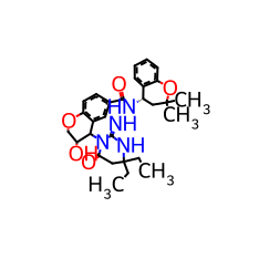 CCC1(CC)CC(=O)N(C2c3cc(C(=O)N[C@H]4CC(C)(C)Oc5ccccc54)ccc3OCC2O)C(=N)N1